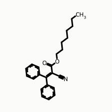 CCCCCCCCOC(=O)C(C#N)=C(c1ccccc1)c1ccccc1